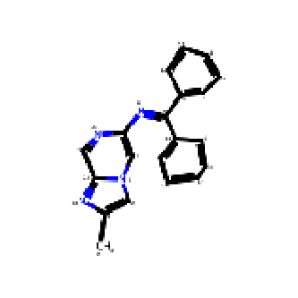 Cc1cn2cc(N=C(c3ccccc3)c3ccccc3)ncc2n1